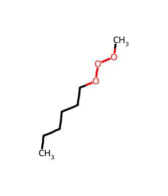 CCCCCCOOOC